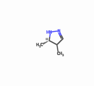 CC1C=NN[C@H]1C